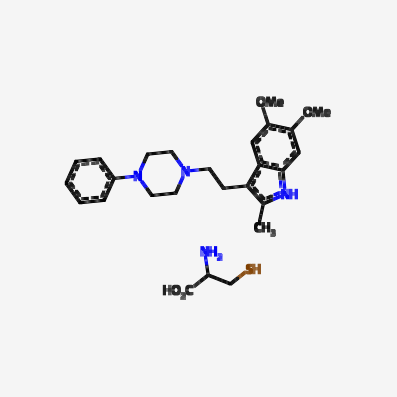 COc1cc2[nH]c(C)c(CCN3CCN(c4ccccc4)CC3)c2cc1OC.NC(CS)C(=O)O